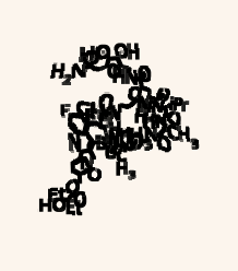 CCC(=O)NCCC(=O)N[C@@H](CCC(=O)NC[C@H]1O[C@@H](CC(N)=O)[C@H](O)[C@@H]1O)C(=O)N[C@H](C(=O)N[C@@H](C)C(=O)NCOCC(C)(C)C(=O)N[C@@H]1Bc2c3c(nc4cc(F)c(C)c(c24)CC1)-c1ccc(COC(=O)C(O)(CC)CC)c(=O)n1C3)C(C)C